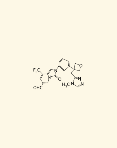 Cn1cnnc1CC1(c2cccc(-n3cc4c(C(F)(F)F)cc(C=O)cn4c3=O)c2)COC1